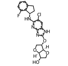 O[C@@H]1CO[C@H]2[C@@H]1OC[C@H]2Oc1nc2nc(N[C@@H]3CCc4cccc(F)c43)c(Cl)cc2[nH]1